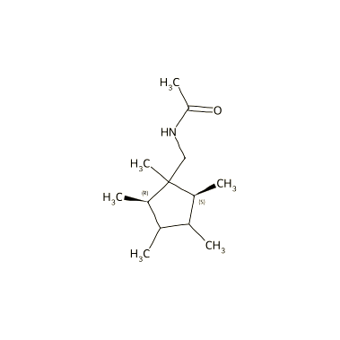 CC(=O)NCC1(C)[C@H](C)C(C)C(C)[C@@H]1C